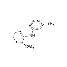 COc1ccccc1Nc1cc(N)n[c]n1